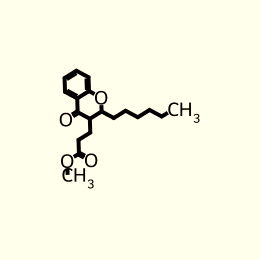 CCCCCCC1Oc2ccccc2C(=O)C1CCC(=O)OC